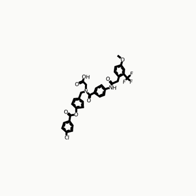 COc1ccc(CC(=O)Nc2ccc(C(=O)N(CC(=O)O)Cc3ccc(OC(=O)c4ccc(Cl)cc4)cc3)cc2)c(C(F)(F)F)c1